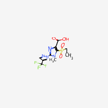 CCS(=O)(=O)c1c(C(=O)O)nc(-n2cc(C(F)(F)F)cn2)n1C